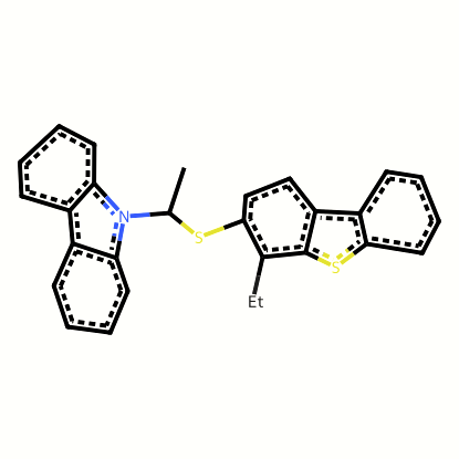 CCc1c(SC(C)n2c3ccccc3c3ccccc32)ccc2c1sc1ccccc12